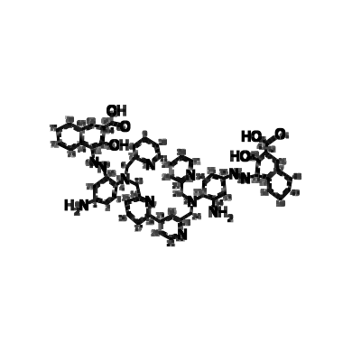 Nc1ccc(N(Cc2ccccn2)Cc2cccc(-c3ccnc(CN(Cc4ccccn4)c4ccc(/N=N/c5c(O)c(C(=O)O)cc6ccccc56)cc4N)c3)n2)c(/N=N/c2c(O)c(C(=O)O)cc3ccccc23)c1